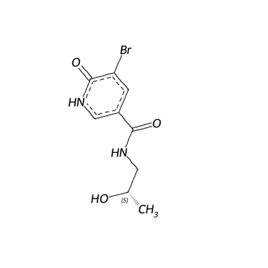 C[C@H](O)CNC(=O)c1c[nH]c(=O)c(Br)c1